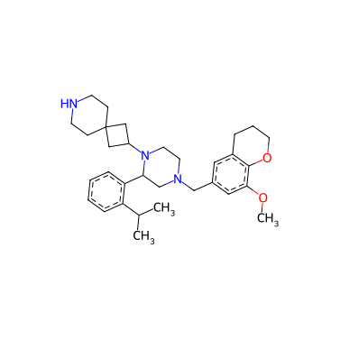 COc1cc(CN2CCN(C3CC4(CCNCC4)C3)C(c3ccccc3C(C)C)C2)cc2c1OCCC2